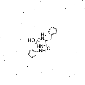 O=C(O)NC(Cc1ccccc1)C(=O)NNc1ccccc1